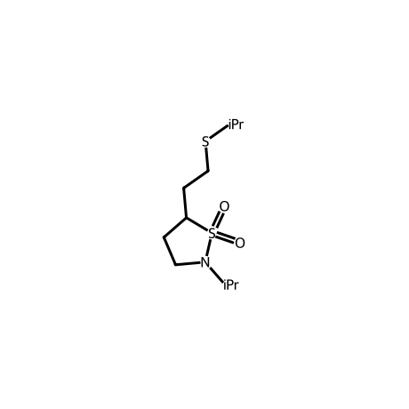 CC(C)SCCC1CCN(C(C)C)S1(=O)=O